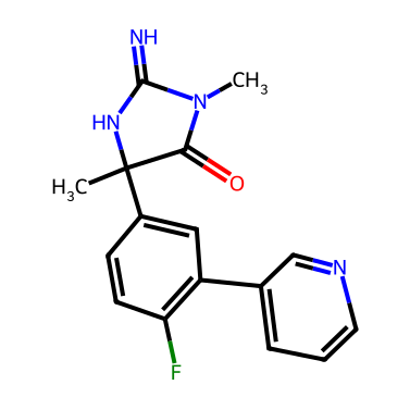 CN1C(=N)NC(C)(c2ccc(F)c(-c3cccnc3)c2)C1=O